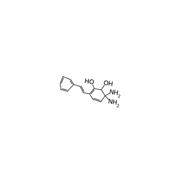 NC1(N)C=CC(C=Cc2ccccc2)=C(O)C1O